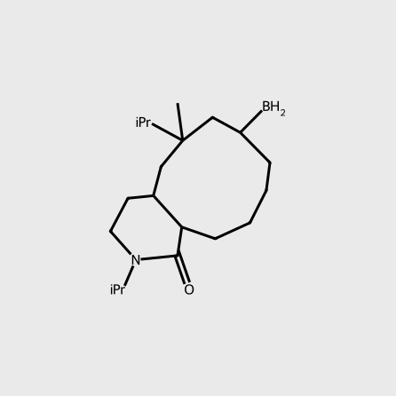 BC1CCCCC2C(=O)N(C(C)C)CCC2CC(C)(C(C)C)C1